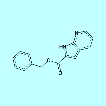 O=C(OCc1ccccc1)c1cc2cccnc2[nH]1